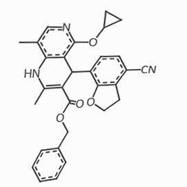 CC1=C(C(=O)OCc2ccccc2)C(c2ccc(C#N)c3c2OCC3)c2c(OC3CC3)ncc(C)c2N1